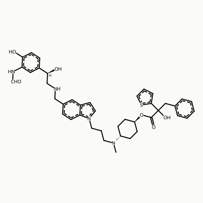 CN(CCCn1ccc2cc(CNC[C@H](O)c3ccc(O)c(NC=O)c3)ccc21)[C@H]1CC[C@H](OC(=O)C(O)(Cc2ccccc2)c2cccs2)CC1